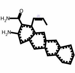 C/C=C\c1c(C(N)=O)c(N)cc2cc3cc4ccccc4cc3cc12